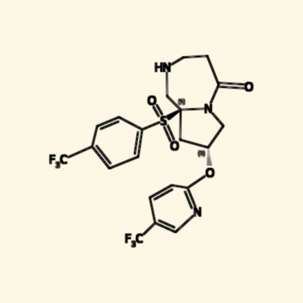 O=C1CCNC[C@@]2(S(=O)(=O)c3ccc(C(F)(F)F)cc3)C[C@@H](Oc3ccc(C(F)(F)F)cn3)CN12